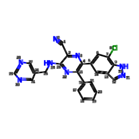 N#Cc1nc(-c2cc(Cl)c3[nH]ncc3c2)c(-c2ccccc2)nc1NCc1cncnc1